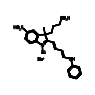 CC[N+]1=C(C=CC=CNc2ccccc2)C(C)(CCCS(=O)(=O)O)c2cc(S(=O)(=O)O)ccc21.[Na+]